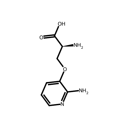 Nc1ncccc1OC[C@H](N)C(=O)O